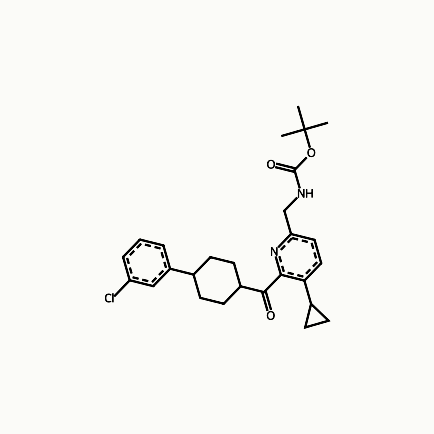 CC(C)(C)OC(=O)NCc1ccc(C2CC2)c(C(=O)C2CCC(c3cccc(Cl)c3)CC2)n1